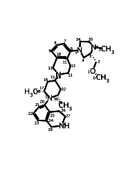 COC[C@@H]1CN(c2cccc3c2CCN(C2C[C@@H](C)N(c4cccc5c4CCNC5)[C@@H](C)C2)C3)CCN1C